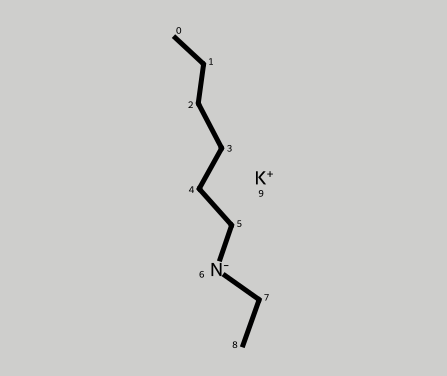 CCCCCC[N-]CC.[K+]